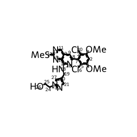 COc1cc(OC)c(Cl)c(-c2cc3cnc(SC)nc3c(NCc3cnn(CCO)c3)n2)c1Cl